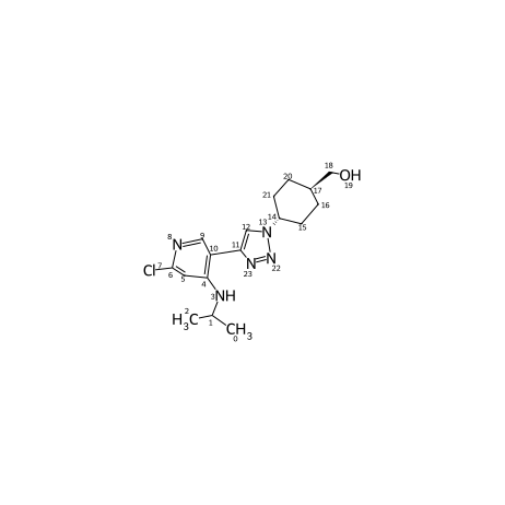 CC(C)Nc1cc(Cl)ncc1-c1cn([C@H]2CC[C@H](CO)CC2)nn1